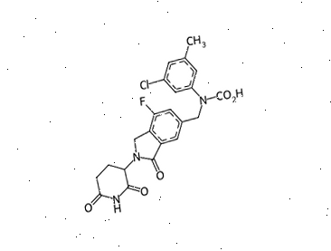 Cc1cc(Cl)cc(N(Cc2cc(F)c3c(c2)C(=O)N(C2CCC(=O)NC2=O)C3)C(=O)O)c1